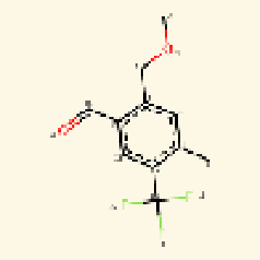 COCc1cc(C)c(C(F)(F)F)cc1C=O